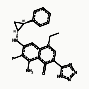 CCn1cc(-c2nnn[nH]2)c(=O)c2c(N)c(F)c(N[C@@H]3C[C@H]3c3ccccc3)cc21